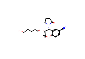 CC1(C)Oc2ccc(C#N)cc2[C@@H](N2CCCC2=O)[C@@H]1OCCCCCO